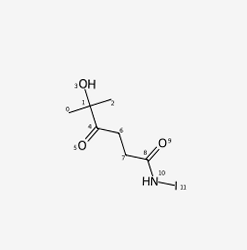 CC(C)(O)C(=O)CCC(=O)NI